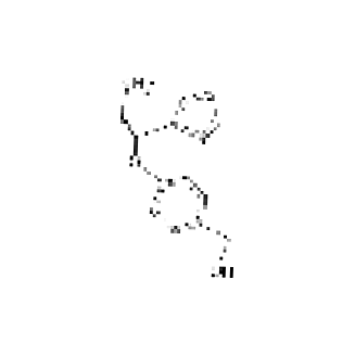 [CH2]C[C@H](Oc1ccc(CO)cc1)c1cccs1